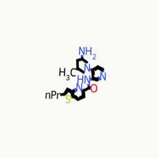 CCCc1cc2nc(C(=O)Nc3cnccc3N3CC(C)CC(N)C3)ccc2s1